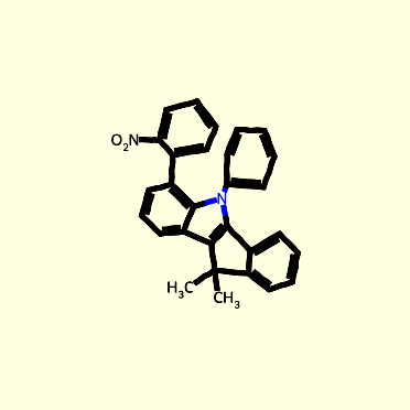 CC1(C)c2ccccc2-c2c1c1cccc(-c3ccccc3[N+](=O)[O-])c1n2-c1ccccc1